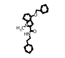 Cn1c(C(=O)NCCc2ccccc2)cc2c(OCc3ccccc3)cccc21